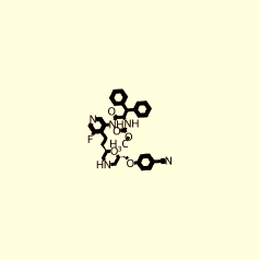 COC(=O)NC(C(=O)Nc1cncc(F)c1CC[C@@H]1CNC[C@@H](COc2ccc(C#N)cc2)O1)C(c1ccccc1)c1ccccc1